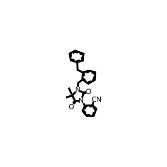 CC1(C)C(=O)N(c2ccccc2C#N)C(=O)N1Cc1ccccc1Cc1ccccc1